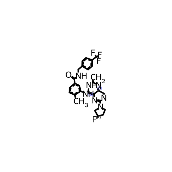 C=C/N=C1/C=NC(N2CC[C@@H](F)C2)=N/C1=C(/N)Nc1cc(C(=O)NCc2ccc(C(F)(F)F)cc2)ccc1C